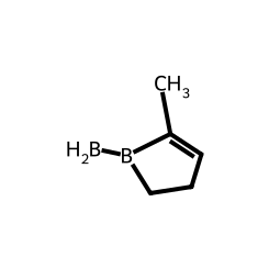 BB1CCC=C1C